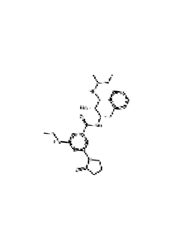 CCNc1cc(C(=O)N[C@@H](Cc2ccccc2)[C@H](O)CNC(C)CC)cc(N2CCCC2=O)c1